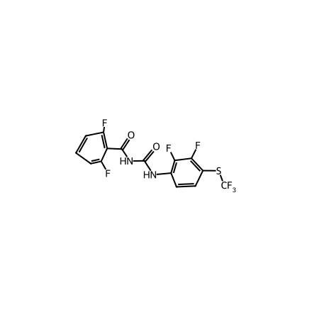 O=C(NC(=O)c1c(F)cccc1F)Nc1ccc(SC(F)(F)F)c(F)c1F